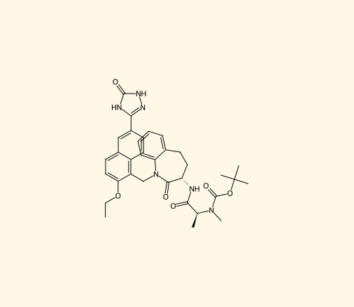 CCOc1ccc2cc(-c3n[nH]c(=O)[nH]3)ccc2c1CN1C(=O)[C@@H](NC(=O)[C@H](C)N(C)C(=O)OC(C)(C)C)CCc2ccccc21